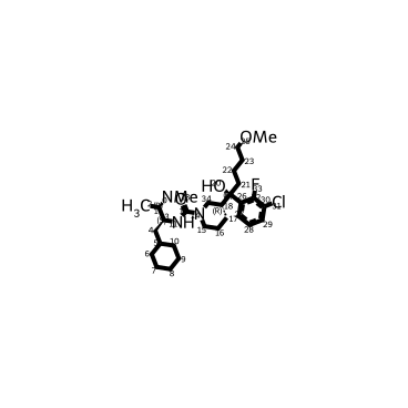 CN[C@H](C)[C@H](CC1CCCCC1)NC(=O)N1CCC[C@@H]([C@](O)(CCCCOC)c2cccc(Cl)c2F)C1